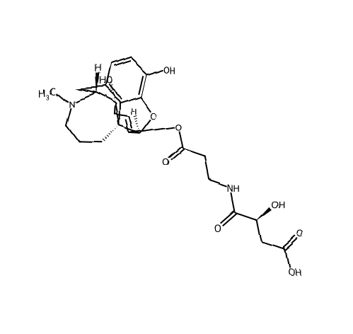 CN1CCC[C@]23c4c5ccc(O)c4O[C@H]2C(OC(=O)CCNC(=O)[C@@H](O)CC(=O)O)=CC[C@@]3(O)[C@H]1C5